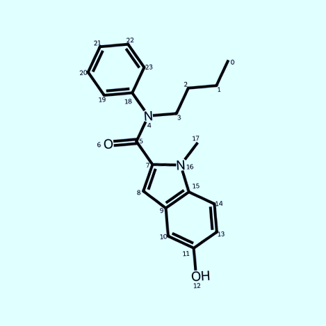 CCCCN(C(=O)c1cc2cc(O)ccc2n1C)c1ccccc1